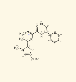 C/C=C(\OC(C)C1SC(NC(C)=O)=NC1C)C(=O)N[C@@H](CO)c1ccccc1